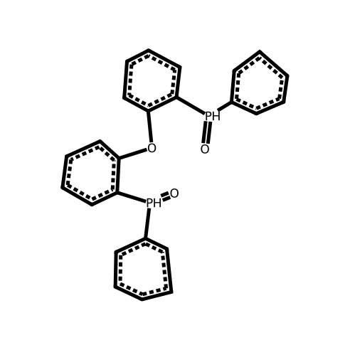 O=[PH](c1ccccc1)c1ccccc1Oc1ccccc1[PH](=O)c1ccccc1